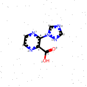 O=C(O)c1nccnc1-n1cncn1